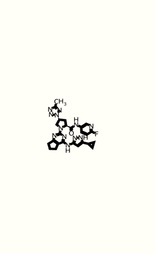 Cc1nnn([C@@H]2C[C@@H](C(=O)Nc3ccc(F)nc3)N(c3nc4c(c(Nc5cc(C6CC6)[nH]n5)n3)CCC4)C2)n1